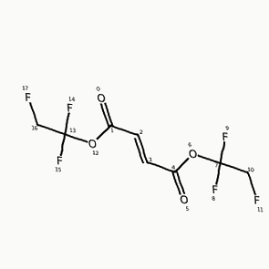 O=C(/C=C/C(=O)OC(F)(F)CF)OC(F)(F)CF